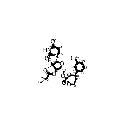 COCC(=O)O[C@@H]1[C@@H](COP2(=O)OCCC(c3cccc(Cl)c3)O2)O[C@@H](n2ccc(=O)[nH]c2=O)[C@]1(C)F